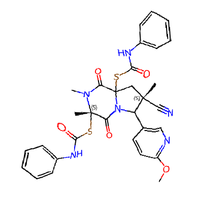 COc1ccc(C2N3C(=O)[C@](C)(SC(=O)Nc4ccccc4)N(C)C(=O)C3(SC(=O)Nc3ccccc3)C[C@]2(C)C#N)cn1